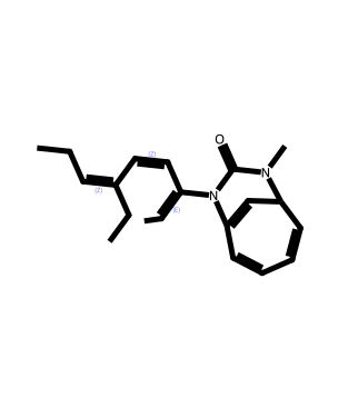 C\C=C(/C=C\C(=C/CC)CC)N1C(=O)N(C)C2C=CC=CC1=C2